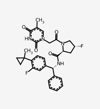 Cc1cn(CC(=O)N2C[C@H](F)C[C@H]2C(=O)N[C@H](c2ccccc2)c2ccc(C3(C)CC3)c(F)c2)c(=O)[nH]c1=O